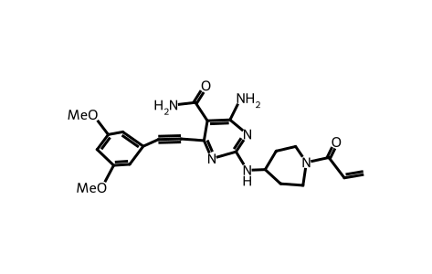 C=CC(=O)N1CCC(Nc2nc(N)c(C(N)=O)c(C#Cc3cc(OC)cc(OC)c3)n2)CC1